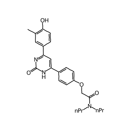 CCCN(CCC)C(=O)COc1ccc(-c2cc(-c3ccc(O)c(C)c3)nc(=O)[nH]2)cc1